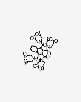 O=C(c1c(C(=O)N(CC2CO2)CC2CO2)c(C(=O)N(CC2CO2)CC2CO2)c2ccccc2c1C(=O)N(CC1CO1)CC1CO1)N(CC1CO1)CC1CO1